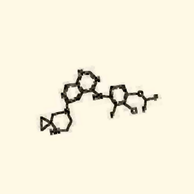 Fc1c(Nc2ncnc3cnc(N4CCNC5(CC5)C4)cc23)ccc(OC(F)F)c1Cl